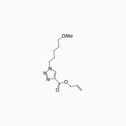 C=CCOC(=O)c1cn(CCCCCOC)nn1